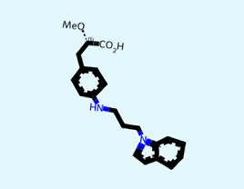 CO[C@@H](Cc1ccc(NCCCn2ccc3ccccc32)cc1)C(=O)O